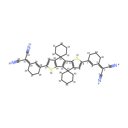 N#CC(C#N)=C1C=C(c2cc3c(s2)C2=C(c4sc(C5=CC(=C(C#N)C#N)CCC5)cc4C24CCCCC4)C32CCCCC2)CCC1